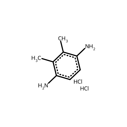 Cc1c(N)ccc(N)c1C.Cl.Cl